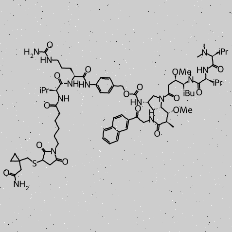 CC[C@H](C)[C@@H]([C@@H](CC(=O)N1C[C@@H](NC(=O)OCc2ccc(NC(=O)[C@H](CCCNC(N)=O)NC(=O)[C@@H](NC(=O)CCCCCN3C(=O)CC(SCC4(CC(N)=O)CC4)C3=O)C(C)C)cc2)C[C@H]1[C@H](OC)[C@@H](C)C(=O)NCC(=O)c1ccc2ccccc2c1)OC)N(C)C(=O)[C@@H](NC(=O)[C@H](C(C)C)N(C)C)C(C)C